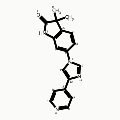 CC1(C)C(=O)Nc2cc(-n3cnc(-c4ccncc4)c3)ccc21